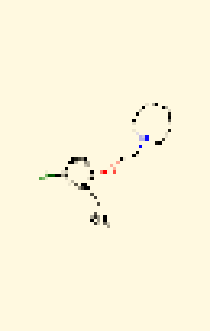 CCc1cc(Cl)ccc1OCCN1CCCCCC1